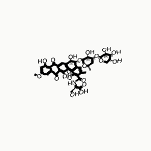 COc1cc(O)c2c(c1)C(=O)c1c(cc3c(c1O)-c1c(cc(C)c(C(=O)N[C@H](CO)C(=O)O)c1O)[C@H](O[C@@H]1O[C@H](C)C[C@H](O[C@@H]4OC[C@@H](O)[C@H](O)[C@H]4O)[C@H]1O)[C@H]3O)C2=O